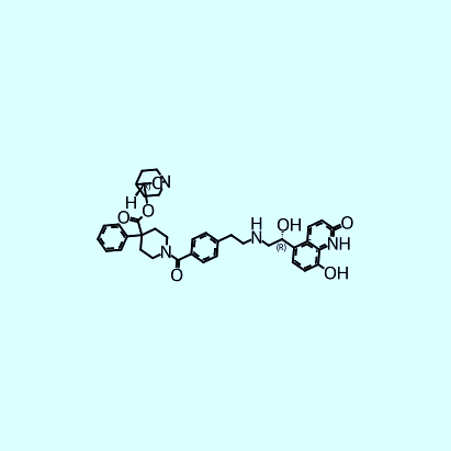 O=C(c1ccc(CCNC[C@H](O)c2ccc(O)c3[nH]c(=O)ccc23)cc1)N1CCC(C(=O)O[C@H]2CN3CCC2CC3)(c2ccccc2)CC1